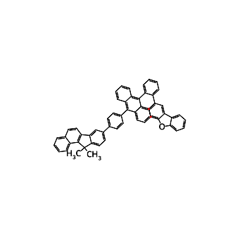 CC1(C)c2ccc(-c3ccc(-c4c5ccccc5c(-c5ccccc5-c5ccc6oc7ccccc7c6c5)c5ccccc45)cc3)cc2-c2ccc3ccccc3c21